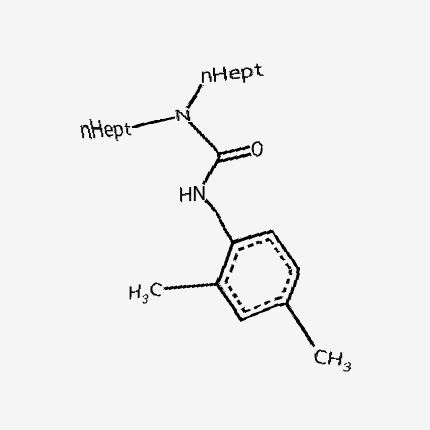 CCCCCCCN(CCCCCCC)C(=O)Nc1ccc(C)cc1C